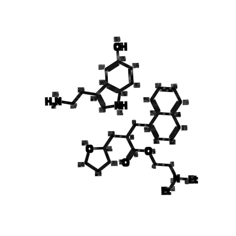 CCN(CC)CCOC(=O)C(Cc1cccc2ccccc12)CC1CCCO1.NCCc1c[nH]c2ccc(O)cc12